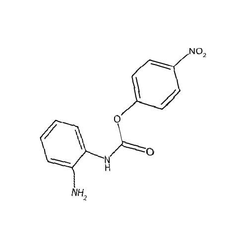 Nc1ccccc1NC(=O)Oc1ccc([N+](=O)[O-])cc1